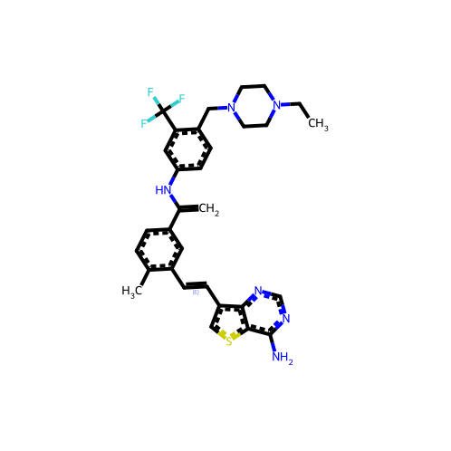 C=C(Nc1ccc(CN2CCN(CC)CC2)c(C(F)(F)F)c1)c1ccc(C)c(/C=C/c2csc3c(N)ncnc23)c1